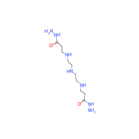 NNC(=O)CCNCCNCCNCCC(=O)NN